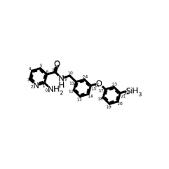 Nc1ncccc1C(=O)NCc1cccc(Oc2cccc([SiH3])c2)c1